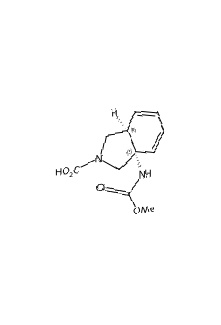 COC(=O)N[C@@]12C=CC=C[C@@H]1CN(C(=O)O)C2